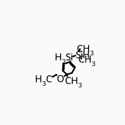 CCOC1(C)C=CC([SiH2][SiH](C)C)=CC1